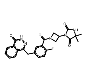 CC1(C)NC(=O)N(C2CN(C(=O)c3cc(Cc4n[nH]c(=O)c5ccccc45)ccc3F)C2)C1=O